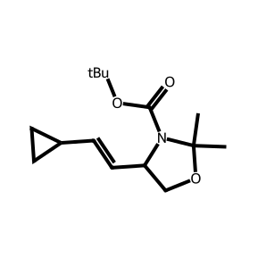 CC(C)(C)OC(=O)N1C(C=CC2CC2)COC1(C)C